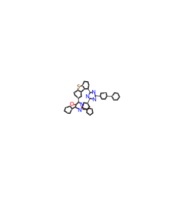 c1ccc(-c2ccc(-c3nc(-c4ccccc4)nc(-c4cccc5sc6ccc(-c7nc(-c8ccccc8)nc8c7oc7ccccc78)cc6c45)n3)cc2)cc1